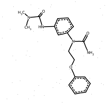 CN(C)C(=O)Nc1cccc(N(CCOc2ccccc2)C(N)=O)c1